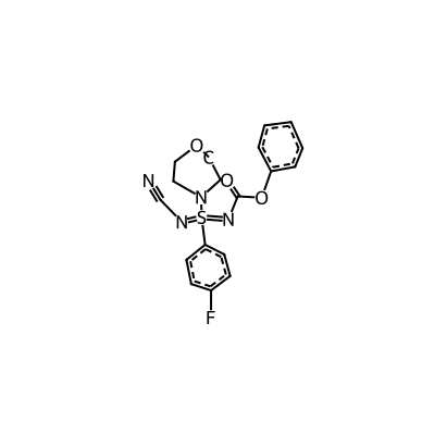 N#CN=S(=NC(=O)Oc1ccccc1)(c1ccc(F)cc1)N1CCOCC1